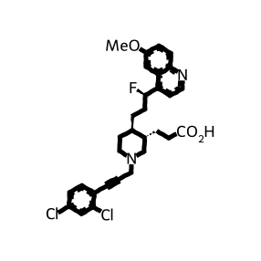 COc1ccc2nccc([C@H](F)CC[C@@H]3CCN(CC#Cc4ccc(Cl)cc4Cl)C[C@H]3CCC(=O)O)c2c1